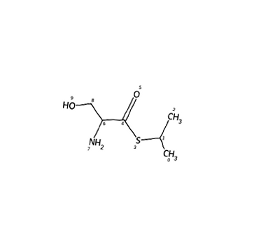 CC(C)SC(=O)C(N)CO